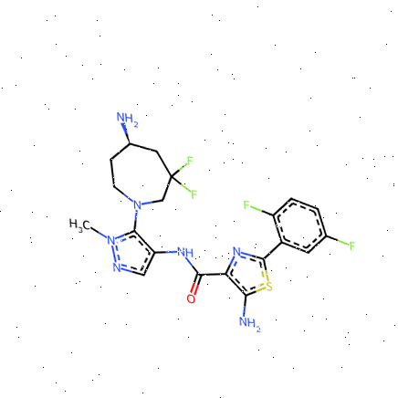 Cn1ncc(NC(=O)c2nc(-c3cc(F)ccc3F)sc2N)c1N1CC[C@@H](N)CC(F)(F)C1